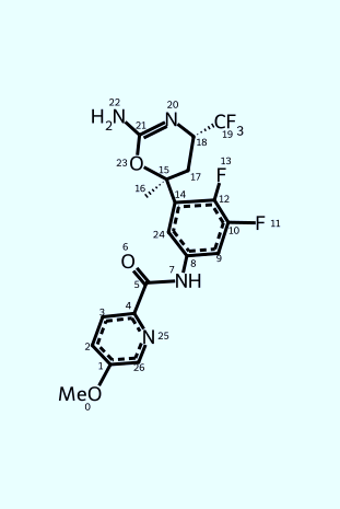 COc1ccc(C(=O)Nc2cc(F)c(F)c([C@]3(C)C[C@@H](C(F)(F)F)N=C(N)O3)c2)nc1